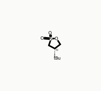 CC(C)(C)[C@H]1COS(=O)(=O)C1